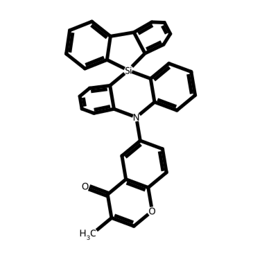 Cc1coc2ccc(N3c4ccccc4[Si]4(c5ccccc5-c5ccccc54)c4ccccc43)cc2c1=O